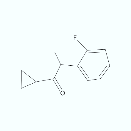 CC(C(=O)C1CC1)c1ccccc1F